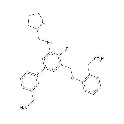 NCc1cccc(-c2cc(COc3ccccc3CC(=O)O)c(F)c(NCC3CCCO3)c2)c1